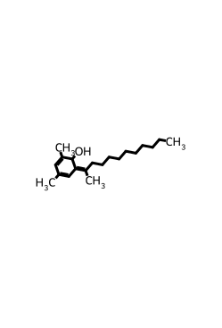 CCCCCCCCCCC(C)=C1C=C(C)C=C(C)C1O